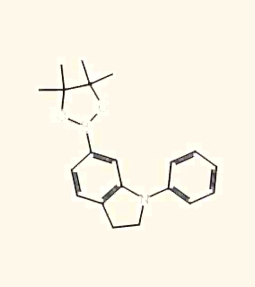 CC1(C)OB(c2ccc3c(c2)N(c2ccccc2)CC3)OC1(C)C